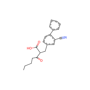 CCCCC(=O)C(Cc1ccc(-c2ccccc2)c(C#N)c1)C(=O)O